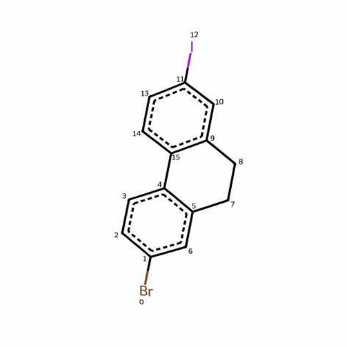 Brc1ccc2c(c1)CCc1cc(I)ccc1-2